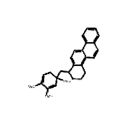 COC1=CCC(CC2CCCc3c2ccc2c3ccc3ccccc32)(OC)C=C1OC